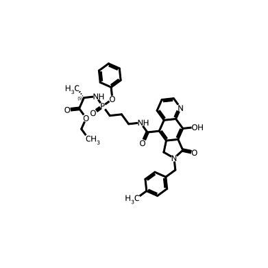 CCOC(=O)[C@H](C)NP(=O)(CCCNC(=O)c1c2c(c(O)c3ncccc13)C(=O)N(Cc1ccc(C)cc1)C2)Oc1ccccc1